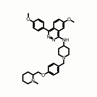 COc1ccc(-c2nnc(NC3CCN(Cc4ccc(OCC5CCCCN5C)cc4)CC3)c3cc(OC)ccc23)cc1